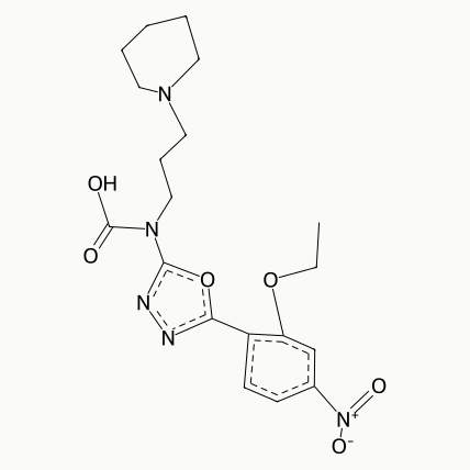 CCOc1cc([N+](=O)[O-])ccc1-c1nnc(N(CCCN2CCCCC2)C(=O)O)o1